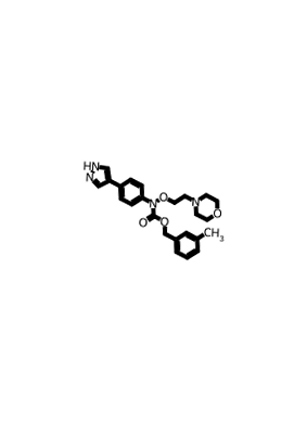 Cc1cccc(COC(=O)N(OCCN2CCOCC2)c2ccc(-c3cn[nH]c3)cc2)c1